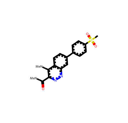 CNC(=O)c1nnc2cc(-c3ccc(S(C)(=O)=O)cc3)ccc2c1NC